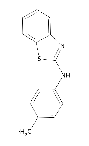 [CH2]c1ccc(Nc2nc3ccccc3s2)cc1